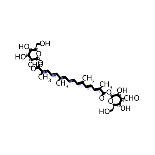 CC(/C=C/C=C(\C)C(=O)O[C@@H]1O[C@H](CO)[C@@H](O)[C@H](C=O)[C@H]1O)=C\C=C\C=C(C)\C=C\C=C(/C)C(=O)O[C@@H]1O[C@H](CO)[C@@H](O)[C@H](O)[C@H]1C=O